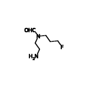 NCCN(C=O)CCCF